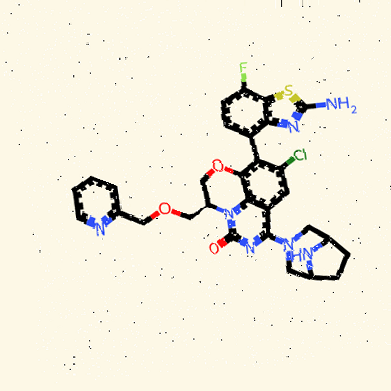 Nc1nc2c(-c3c(Cl)cc4c(N5CC6CCC(C5)N6)nc(=O)n5c4c3OC[C@@H]5COCc3ccccn3)ccc(F)c2s1